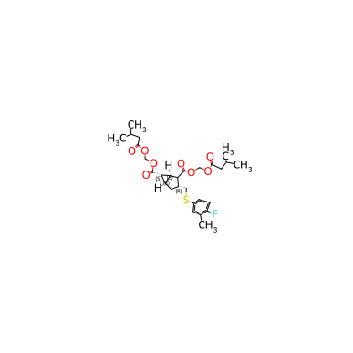 Cc1cc(SC[C@@H]2C[C@H]3[C@H](C(=O)OCOC(=O)CC(C)C)[C@H]3C2C(=O)OCOC(=O)CC(C)C)ccc1F